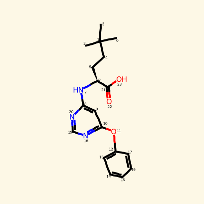 CC(C)(C)CC[C@H](Nc1cc(Oc2ccccc2)ncn1)C(=O)O